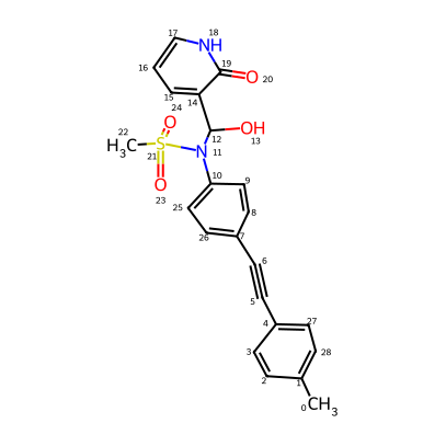 Cc1ccc(C#Cc2ccc(N(C(O)c3ccc[nH]c3=O)S(C)(=O)=O)cc2)cc1